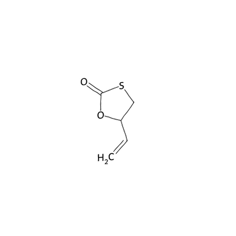 C=CC1CSC(=O)O1